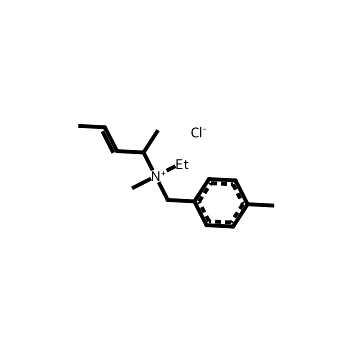 CC=CC(C)[N+](C)(CC)Cc1ccc(C)cc1.[Cl-]